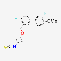 COc1ccc(-c2ccc(F)c(CO[C@H]3C[C@@H](N=C=S)C3)c2)cc1F